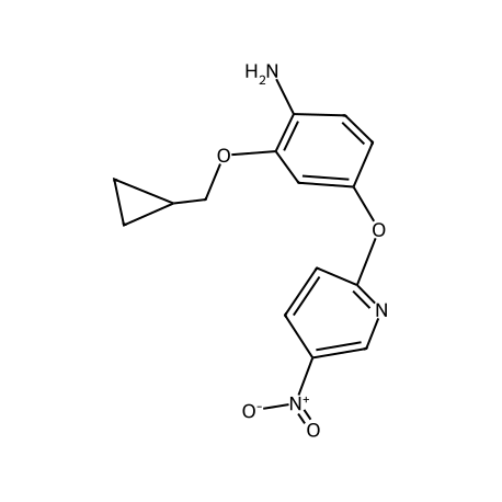 Nc1ccc(Oc2ccc([N+](=O)[O-])cn2)cc1OCC1CC1